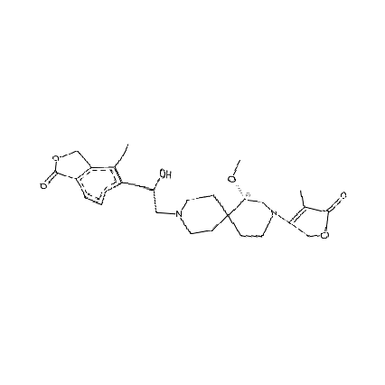 CO[C@@H]1CN(C2=C(C)C(=O)OC2)CCC12CCN(CC(O)c1ccc3c(c1C)COC3=O)CC2